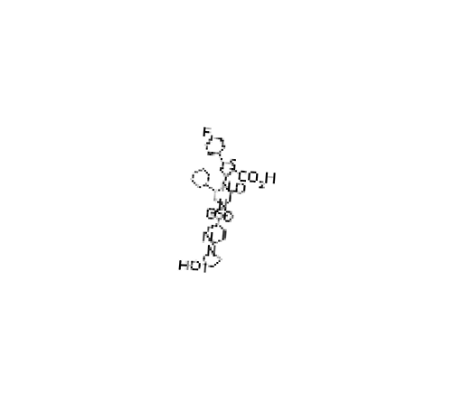 CC1(O)CCN(c2ccc(S(=O)(=O)N3CC(=O)N(c4cc(-c5ccc(F)cc5)sc4C(=O)O)C(C4CCCCC4)C3)cn2)C1